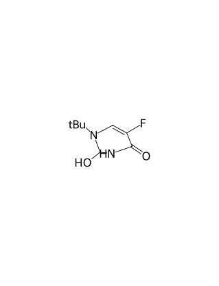 CC(C)(C)N1C=C(F)C(=O)NC1O